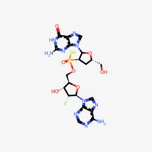 Nc1nc2c(ncn2C2O[C@H](CO)C[C@H]2P(=O)(S)OC[C@H]2O[C@@H](n3cnc4c(N)ncnc43)[C@H](F)[C@@H]2O)c(=O)[nH]1